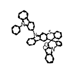 c1ccc(-n2c3ccccc3c3ccc(-n4c5ccccc5c5cc6c(cc54)Sc4ccccc4C64c5ccccc5-n5c6ccccc6c6cccc4c65)cc32)cc1